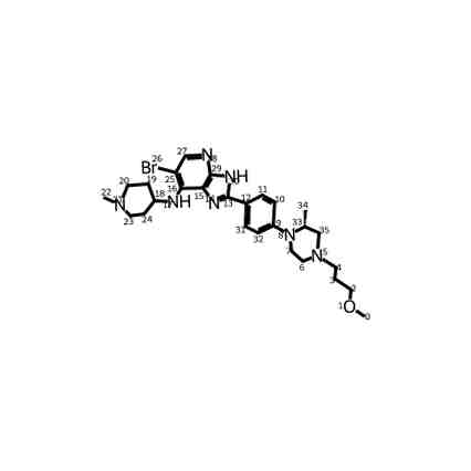 COCCCN1CCN(c2ccc(-c3nc4c(NC5CCN(C)CC5)c(Br)cnc4[nH]3)cc2)[C@@H](C)C1